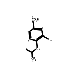 CC(Oc1ncc(C(=O)O)cc1I)C(F)(F)F